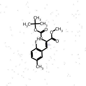 COC(=O)/C(=C/c1cc(C)ccc1F)NC(=O)OC(C)(C)C